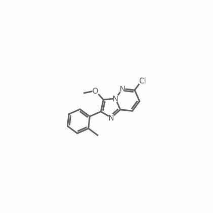 COc1c(-c2ccccc2C)nc2ccc(Cl)nn12